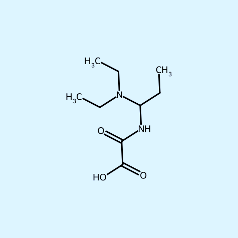 CCC(NC(=O)C(=O)O)N(CC)CC